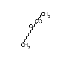 CCCCCCCCCCCC(=O)CCCOC(=O)CCCC